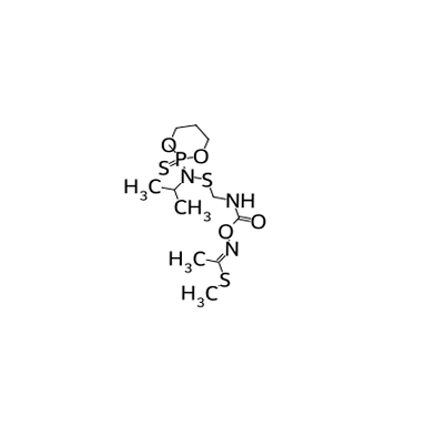 CS/C(C)=N/OC(=O)NCSN(C(C)C)P1(=S)OCCCO1